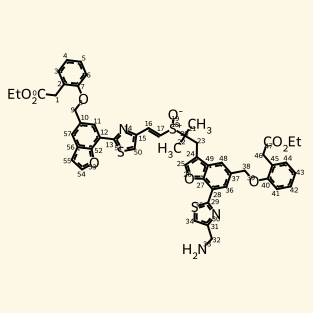 CCOC(=O)Cc1ccccc1OCc1cc(-c2nc(/C=C/[S+]([O-])C(C)(C)Cc3coc4c(-c5nc(CN)cs5)cc(COc5ccccc5CC(=O)OCC)cc34)cs2)c2occc2c1